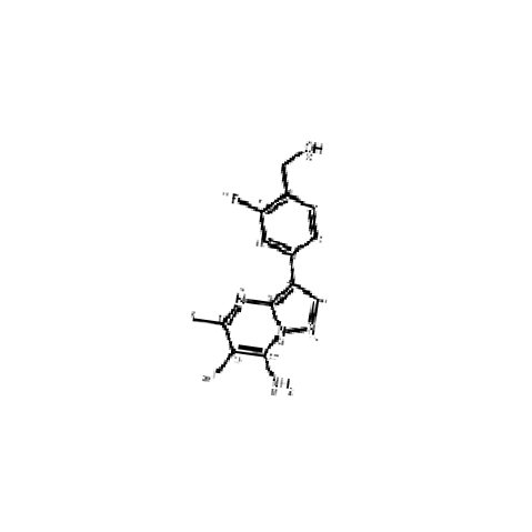 Cc1nc2c(-c3ccc(CO)c(F)c3)cnn2c(N)c1I